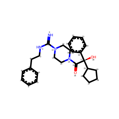 N=C(NCCc1ccccc1)N1CCN(C(=O)[C@](O)(c2ccccc2)C2CCCC2)CC1